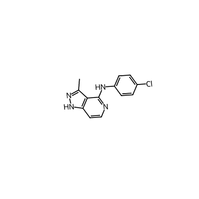 Cc1n[nH]c2ccnc(Nc3ccc(Cl)cc3)c12